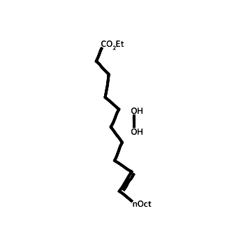 CCCCCCCCC=CCCCCCCCC(=O)OCC.OO